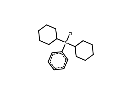 Cl[Si](c1ccccc1)(C1CCCCC1)C1CCCCC1